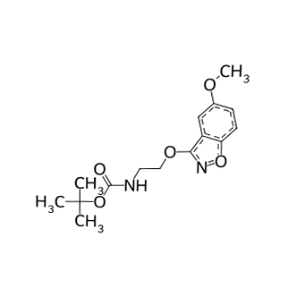 COc1ccc2onc(OCCNC(=O)OC(C)(C)C)c2c1